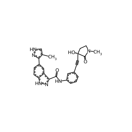 Cc1c[nH]nc1-c1ccc2[nH]nc(C(=O)Nc3cccc(C#C[C@]4(O)CCN(C)C4=O)c3)c2c1